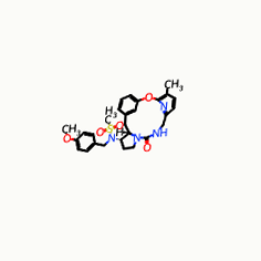 COc1ccc(CN([C@H]2CCN3C(=O)NCc4ccc(C)c(n4)Oc4cccc(c4)C[C@@H]23)S(C)(=O)=O)cc1